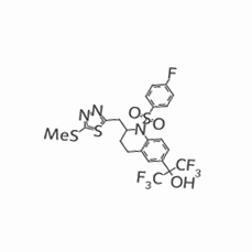 CSc1nnc(CC2CCc3cc(C(O)(C(F)(F)F)C(F)(F)F)ccc3N2S(=O)(=O)c2ccc(F)cc2)s1